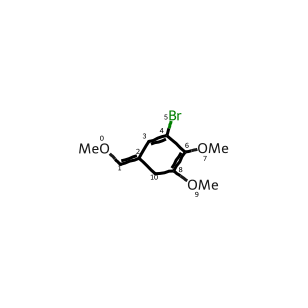 COC=C1C=C(Br)C(OC)=C(OC)C1